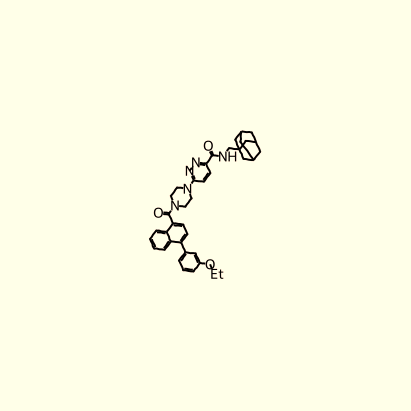 CCOc1cccc(-c2ccc(C(=O)N3CCN(c4ccc(C(=O)NCC56CC7CC(CC(C7)C5)C6)nn4)CC3)c3ccccc23)c1